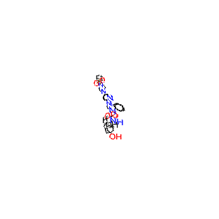 CCS(=O)(=O)N1CCN(c2ccc(N3CCN(OC(=O)NC4[C@@H]5CC6C[C@H]4CC(O)(C6)C5)c4ccccc43)nc2)CC1